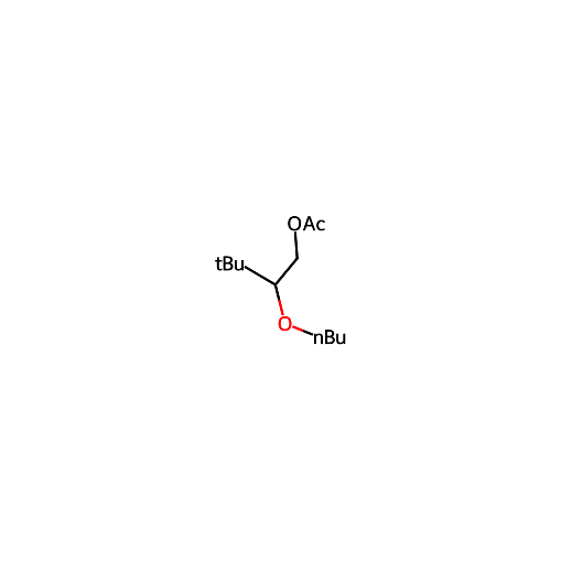 CCCCOC(COC(C)=O)C(C)(C)C